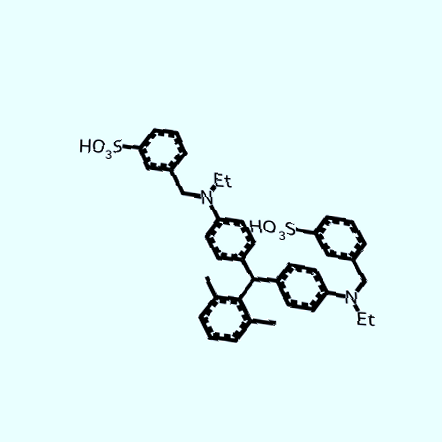 CCN(Cc1cccc(S(=O)(=O)O)c1)c1ccc(C(c2ccc(N(CC)Cc3cccc(S(=O)(=O)O)c3)cc2)c2c(C)cccc2C)cc1